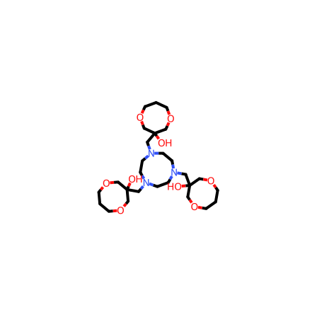 OC1(CN2CCN(CC3(O)COCCCOC3)CCN(CC3(O)COCCCOC3)CC2)COCCCOC1